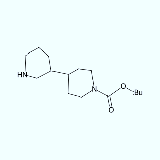 CC(C)(C)OC(=O)N1CCC(C2CCCNC2)CC1